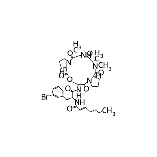 CCCC/C=C/C(=O)N[C@@H](Cc1cccc(Br)c1)C(=O)N[C@H]1COC(=O)[C@@H]2CCCN2C(=O)[C@H](C)NC(=O)[C@H](C)N(C)C(=O)[C@@H]2CCCN2C1=O